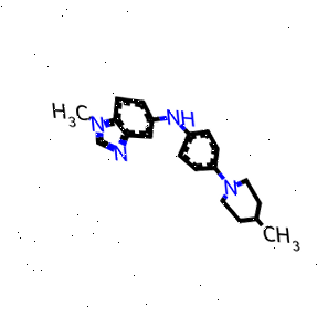 CC1CCN(c2ccc(Nc3ccc4c(c3)ncn4C)cc2)CC1